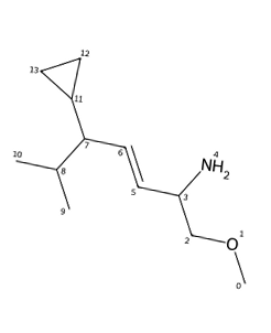 COCC(N)C=CC(C(C)C)C1CC1